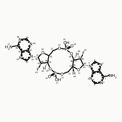 Nc1ncnc2c1ncn2[C@@H]1O[C@@H]2COP(=O)(O)O[C@@H]3C(COP(=O)(O)O[C@H]2[C@H]1F)O[C@@H](n1cnc2c(N)ncnc21)[C@@H]3F